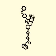 Nc1ncnc2c1c(-c1ccc(Oc3ccccc3)cc1)nn2C1CCN(C2CN(C3CN(C(=O)CC45CC6CC(CC(C6)C4)C5)C3)C2)CC1F